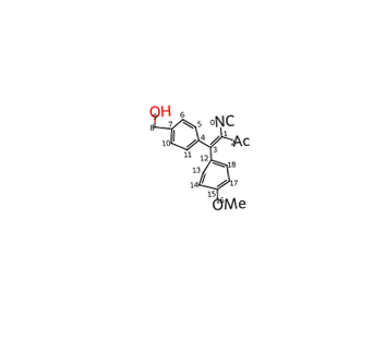 [C-]#[N+]/C(C(C)=O)=C(\c1ccc(CO)cc1)c1ccc(OC)cc1